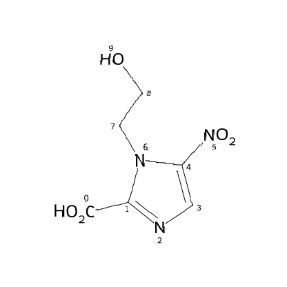 O=C(O)c1ncc([N+](=O)[O-])n1CCO